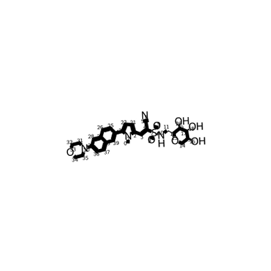 Cn1c(/C=C(\C#N)S(=O)(=O)NC[C@H]2OC[C@H](O)[C@@H](O)[C@@H]2O)ccc1-c1ccc2cc(N3CCOCC3)ccc2c1